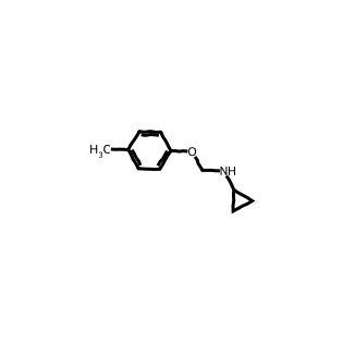 Cc1ccc(OCNC2CC2)cc1